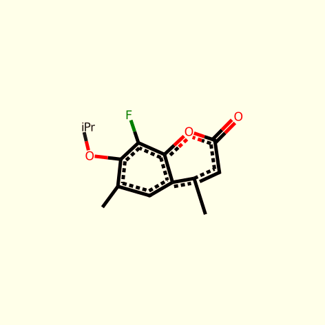 Cc1cc2c(C)cc(=O)oc2c(F)c1OC(C)C